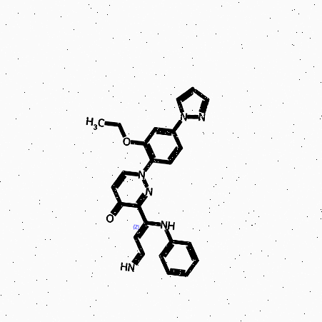 CCOc1cc(-n2cccn2)ccc1-n1ccc(=O)c(/C(=C/C=N)Nc2ccccc2)n1